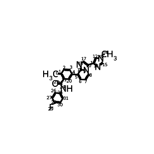 Cc1ccc(-c2cccn3c(-c4cn(C)cn4)cnc23)cc1C(=O)Nc1ccc(F)cc1